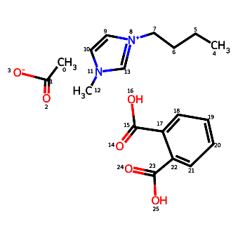 CC(=O)[O-].CCCC[n+]1ccn(C)c1.O=C(O)c1ccccc1C(=O)O